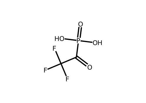 O=C(C(F)(F)F)P(=O)(O)O